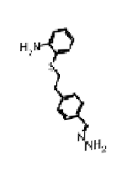 NN=Cc1ccc(CCSc2ccccc2N)cc1